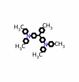 Cc1ccc(C(c2ccc(N(c3ccc(C)cc3)c3ccc(C)cc3)cc2)c2ccc(N(c3ccc(C)cc3)c3ccc(C)cc3)cc2)cc1